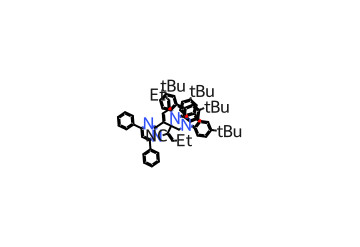 CC/C=C\C=C(\c1nc(-c2ccccc2)cc(-c2ccccc2)n1)C(Cn1c2ccc(C(C)(C)C)cc2c2cc(C(C)(C)C)ccc21)(/C(C#N)=C\CC)n1c2ccc(C(C)(C)C)cc2c2cc(C(C)(C)C)ccc21